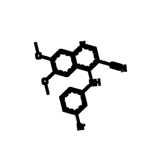 COc1cc2ncc(C#N)c(Nc3cccc(Br)c3)c2cc1OC